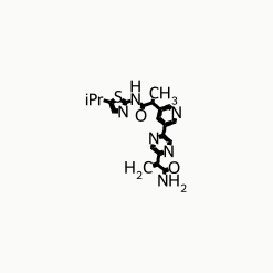 C=C(C(N)=O)c1cnc(-c2cncc(C(C)C(=O)Nc3ncc(C(C)C)s3)c2)cn1